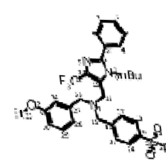 CCCCn1c(-c2ccccc2)nc(C(F)(F)F)c1CN(Cc1ccc(S(N)(=O)=O)cc1)Cc1cccc(OCC)c1